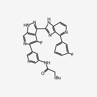 CC(C)(C)CC(=O)Nc1cncc(-c2ncc3[nH]nc(-c4nc5c(-c6cccc(F)c6)nccc5[nH]4)c3c2F)c1